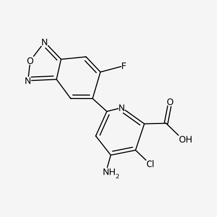 Nc1cc(-c2cc3nonc3cc2F)nc(C(=O)O)c1Cl